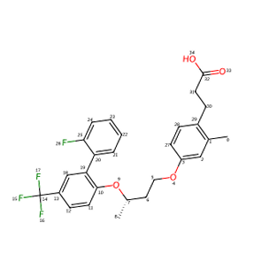 Cc1cc(OCC[C@H](C)Oc2ccc(C(F)(F)F)cc2-c2ccccc2F)ccc1CCC(=O)O